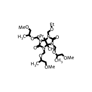 CCCC12N(COCC)C(=O)N(COC(C)COC)C1(C)N(COC(C)COC)C(=O)N2COC(C)COC